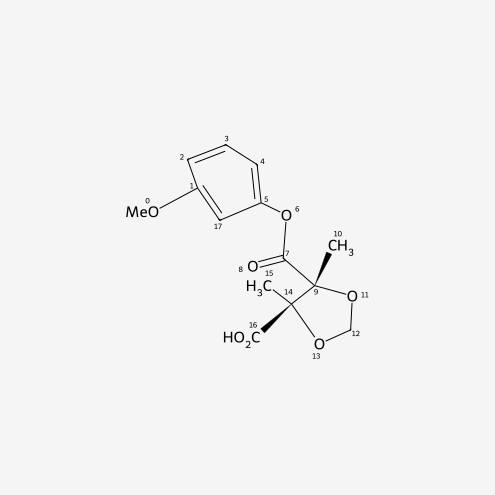 COc1cccc(OC(=O)[C@]2(C)OCO[C@@]2(C)C(=O)O)c1